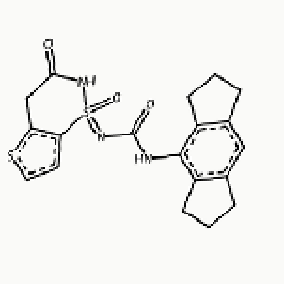 O=C1Cc2sccc2S(=O)(=NC(=O)Nc2c3c(cc4c2CCC4)CCC3)N1